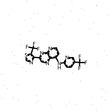 FC(F)(F)c1ccc(Nc2ccnc3nc(-c4ncsc4C(F)(F)F)cnc23)nc1